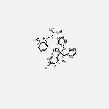 O=C(O)CNc1ccccc1O.OC(Cn1cncn1)(Cn1cncn1)c1ccc(F)cc1F